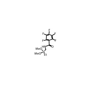 CC[Si](CNC(=O)c1c(F)c(F)c(F)c(F)c1F)(OC)OC